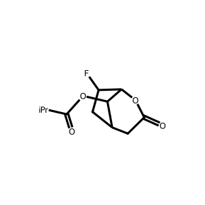 CC(C)C(=O)OC1C2CC(=O)OC1C(F)C2